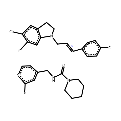 Fc1cc2c(cc1Cl)CCN2C/C=C/c1ccc(Cl)cc1.O=C(NCc1ccnc(F)c1)N1CCCCC1